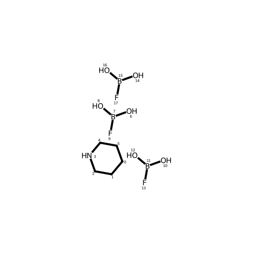 C1CCNCC1.OB(O)F.OB(O)F.OB(O)F